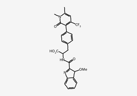 COC1C(C(=O)NC(Cc2ccc(-c3c(C(F)(F)F)cc(C)n(C)c3=O)cc2)C(=O)O)=Nc2ccccc21